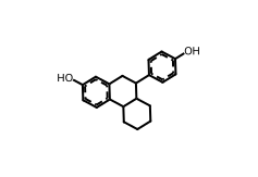 Oc1ccc(C2Cc3cc(O)ccc3C3CCCCC23)cc1